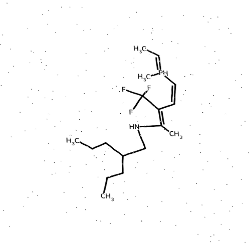 C/C=[PH](C)/C=C\C(=C(/C)NCC(CCC)CCC)C(F)(F)F